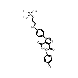 CC(C)(C)[Si](C)(C)OCCNc1ccc(-n2cnc(C(=O)Nc3ccc(Cl)cn3)c2C(N)=O)cc1